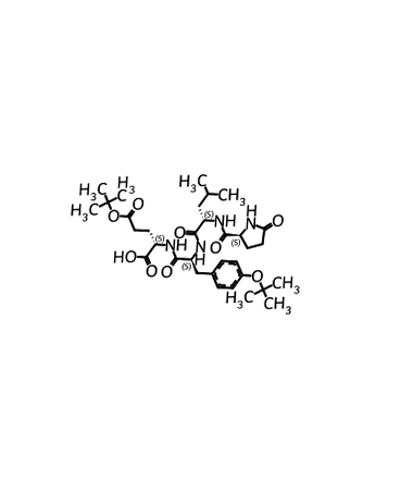 CC(C)C[C@H](NC(=O)[C@@H]1CCC(=O)N1)C(=O)N[C@@H](Cc1ccc(OC(C)(C)C)cc1)C(=O)N[C@@H](CCC(=O)OC(C)(C)C)C(=O)O